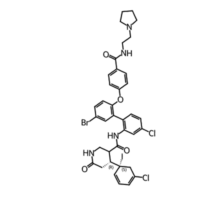 O=C1C[C@@H]([C@]2(I)C=CC=C(Cl)C2)C(C(=O)Nc2cc(Cl)ccc2-c2cc(Br)ccc2Oc2ccc(C(=O)NCCN3CCCC3)cc2)CN1